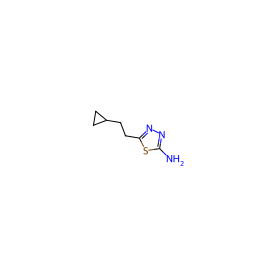 Nc1nnc(CCC2CC2)s1